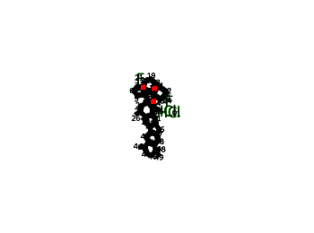 Cl.Cl.[CH2]=[Zr]([C]1=CC=CC1)([c]1cccc(F)c1)([c]1cccc(F)c1)[CH]1C=C(C)c2cc3c(cc2C1(C)C)Cc1cc2c(cc1-3)C(C)=CCC2(C)C